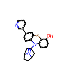 Oc1cccc2c1Sc1cc(-c3cccnc3)ccc1N2C1CC2CCC(C1)N2